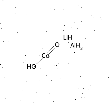 [AlH3].[LiH].[O]=[Co][OH]